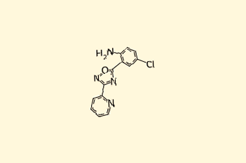 Nc1ccc(Cl)cc1-c1nc(-c2ccccn2)no1